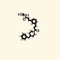 O=C(C=Cc1cccc(C=CC(=O)N2CCC(Cc3ccccc3)CC2)c1)NO